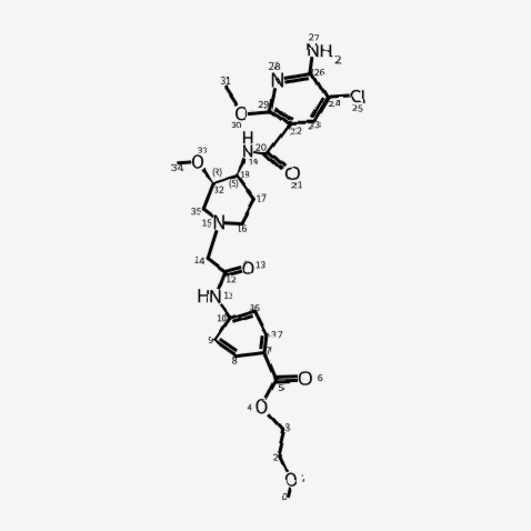 COCCOC(=O)c1ccc(NC(=O)CN2CC[C@H](NC(=O)c3cc(Cl)c(N)nc3OC)[C@H](OC)C2)cc1